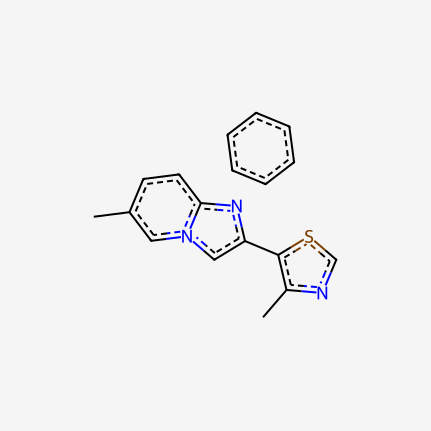 Cc1ccc2nc(-c3scnc3C)cn2c1.c1ccccc1